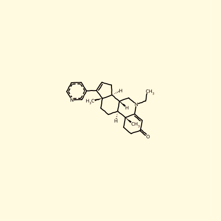 CCN1C[C@@H]2[C@H](CC[C@]3(C)C(c4cccnc4)=CC[C@@H]23)[C@@]2(C)CCC(=O)C=C12